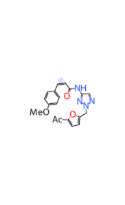 COc1ccc(/C=C\C(=O)Nc2cnn(Cc3ccc(C(C)=O)o3)n2)cc1